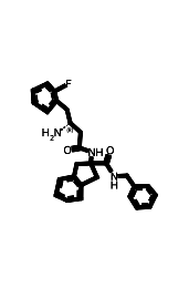 N[C@@H](CC(=O)NC1(C(=O)NCc2ccccc2)Cc2ccccc2C1)Cc1ccccc1F